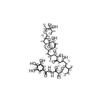 CC[C@@H](C(=O)[C@@H](C)[C@@H](O)[C@H](C)[C@@H]1O[C@@H]([C@@H](CC)C(=O)NNC(=O)c2cc(O)c(O)c(O)c2)CCC1C)[C@H]1O[C@]2(C=C[C@@H](O)[C@]3(CC[C@@](C)([C@H]4CC[C@](O)(CC)[C@H](C)O4)O3)O2)[C@H](C)C[C@@H]1C